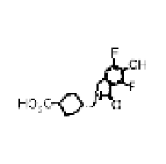 O=C1c2c(cc(F)c(O)c2F)CN1C[C@H]1CC[C@H](C(=O)O)CC1